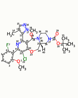 COc1cccc(F)c1-c1nc(-c2c(C)cnn2C)c2c(c1Cl)OC[C@H]1CN(C(=O)OC(C)(C)C)CCN1C2=O